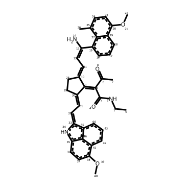 CCNC(=O)/C(C(C)=O)=C1C(=C/C=C(/N)c2cccc3c(OC)ccc(C)c23)/CCC/1=C\C=c1\[nH]c2ccc(OC)c3cccc1c23